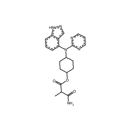 CC(C(N)=O)C(=O)OC1CCC(N(c2ncccn2)c2cccc3[nH]ncc23)CC1